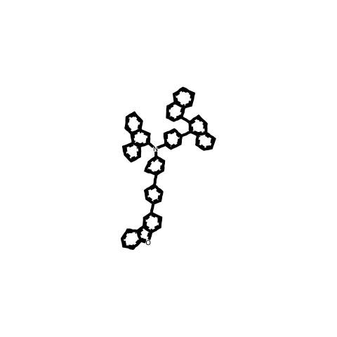 c1ccc2c(-c3ccc4ccccc4c3-c3ccc(N(c4ccc(-c5ccc(-c6ccc7oc8ccccc8c7c6)cc5)cc4)c4cc5ccccc5c5ccccc45)cc3)cccc2c1